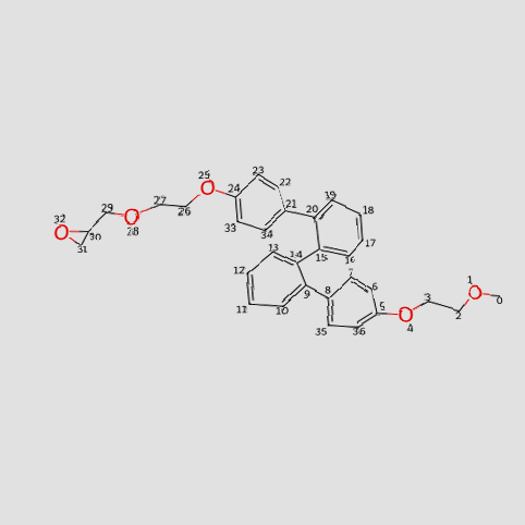 COCCOc1ccc(-c2ccccc2-c2ccccc2-c2ccc(OCCOCC3CO3)cc2)cc1